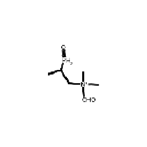 CC(C[N+](C)(C)C=O)[PH2]=O